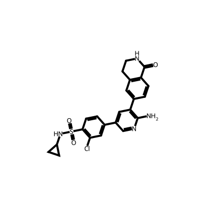 Nc1ncc(-c2ccc(S(=O)(=O)NC3CC3)c(Cl)c2)cc1-c1ccc2c(c1)CCNC2=O